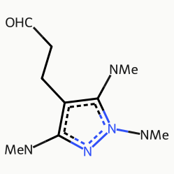 CNc1nn(NC)c(NC)c1CCC=O